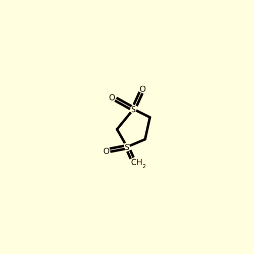 C=S1(=O)CCS(=O)(=O)C1